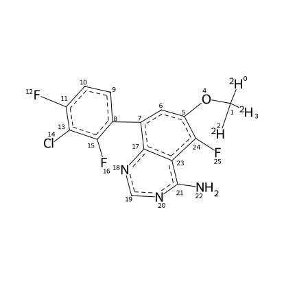 [2H]C([2H])([2H])Oc1cc(-c2ccc(F)c(Cl)c2F)c2ncnc(N)c2c1F